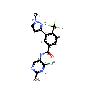 Cc1ncc(NC(=O)c2ccc(C(F)(F)F)c(-c3ccn(C)n3)c2)c(Cl)n1